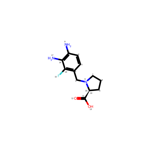 Nc1ccc(CN2CCC[C@H]2C(=O)O)c(F)c1N